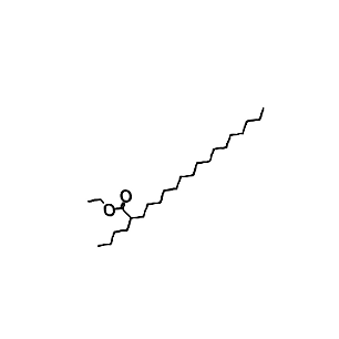 CCCCCCCCCCCCCCCCC(CCCC)C(=O)OCC